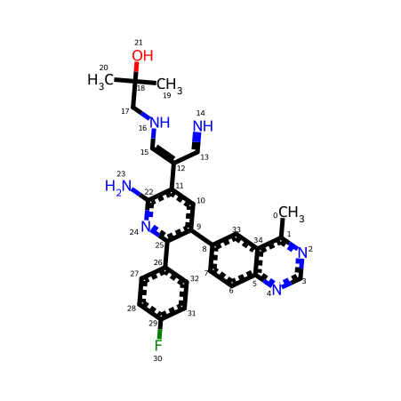 Cc1ncnc2ccc(-c3cc(/C(C=N)=C/NCC(C)(C)O)c(N)nc3-c3ccc(F)cc3)cc12